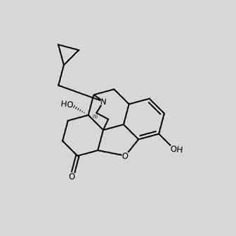 O=C1CC[C@@]2(O)C3CC4C=CC(O)=C5OC1C2(CCN3CC1CC1)C54